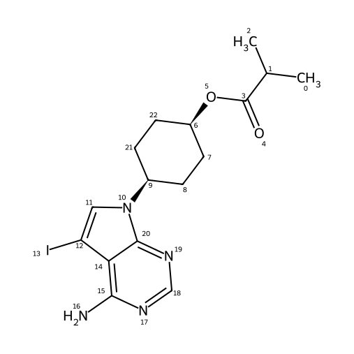 CC(C)C(=O)O[C@H]1CC[C@@H](n2cc(I)c3c(N)ncnc32)CC1